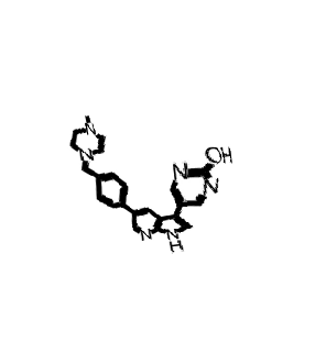 CN1CCN(Cc2ccc(-c3cnc4[nH]cc(-c5cnc(O)nc5)c4c3)cc2)CC1